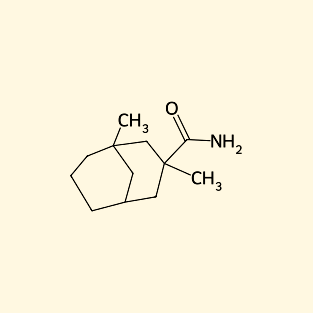 CC12CCCC(C1)CC(C)(C(N)=O)C2